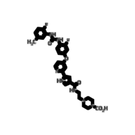 Cc1ccc(F)c(NC(=O)Nc2ccc(Oc3ccnc(-c4cc(C(=O)NCCN5CCN(C(=O)O)CC5)c[nH]4)c3)cc2F)c1